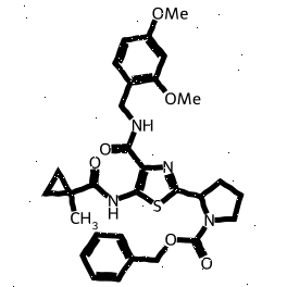 COc1ccc(CNC(=O)c2nc(C3CCCN3C(=O)OCc3ccccc3)sc2NC(=O)C2(C)CC2)c(OC)c1